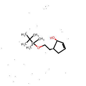 CC(C)(C)[Si](C)(C)OCC[C@@H]1CC=C[C@@H]1O